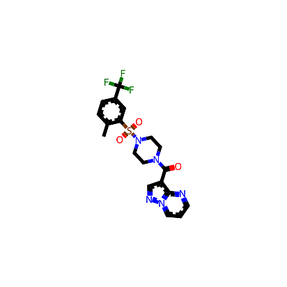 Cc1ccc(C(F)(F)F)cc1S(=O)(=O)N1CCN(C(=O)c2cnn3cccnc23)CC1